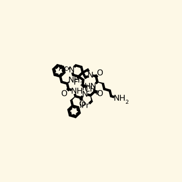 C=CCC1(F)CN(C(C)=O)CCC12CN(C(=O)[C@@H](CCCCN)NC(=O)[C@@H](CC(C)C)NC(=O)[C@@H](Cc1ccccc1)NC(=O)[C@H](N)Cc1ccccc1)C2